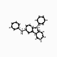 c1ccc(Nc2ccc3c(c2)c2cnccc2n3-c2ccccc2)cc1